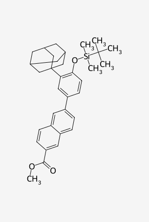 COC(=O)c1ccc2cc(-c3ccc(O[Si](C)(C)C(C)(C)C)c(C45CC6CC(CC(C6)C4)C5)c3)ccc2c1